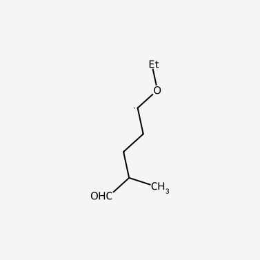 CCO[CH]CCC(C)C=O